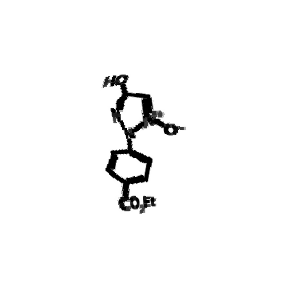 CCOC(=O)c1ccc(-n2nc(O)c[n+]2[O-])cc1